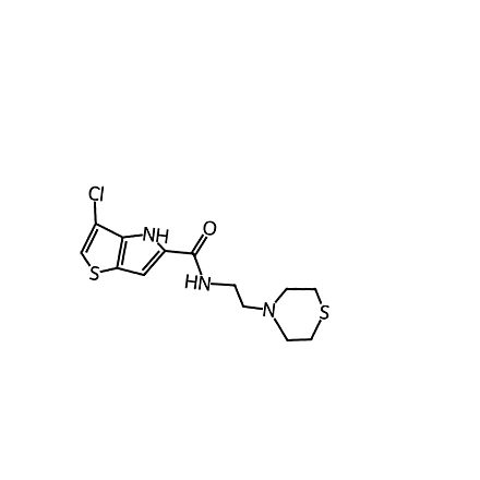 O=C(NCCN1CCSCC1)c1cc2scc(Cl)c2[nH]1